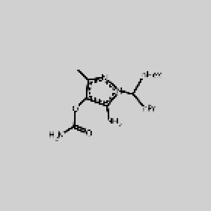 CCCCCCC(CCC)n1nc(C)c(OC(N)=O)c1N